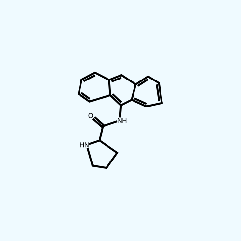 O=C(Nc1c2ccccc2cc2ccccc12)C1CCCN1